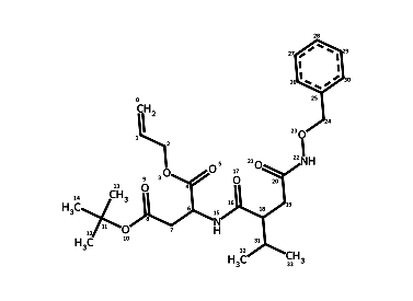 C=CCOC(=O)C(CC(=O)OC(C)(C)C)NC(=O)C(CC(=O)NOCc1ccccc1)C(C)C